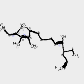 C=CCC(CC)/C(O)=C/CCCC(C)/C(C)=C(O)\C(C)=C\N